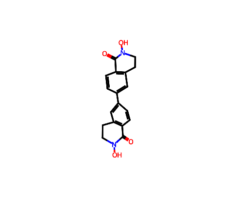 O=C1c2ccc(-c3ccc4c(c3)CCN(O)C4=O)cc2CCN1O